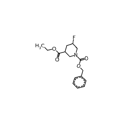 CCOC(=O)C1CC(F)CN(C(=O)OCc2ccccc2)C1